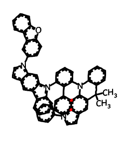 CC1(C)c2ccccc2N(c2cccc(-n3c4ccccc4c4cc5ccn(-c6ccc7oc8ccccc8c7c6)c5cc43)c2-c2ccccc2)c2cc3c(ccn3-c3ccccc3)cc21